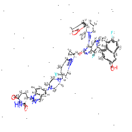 CCc1c(F)ccc2cc(O)cc(-c3ncc4c(N5CCC[C@]6(CCO6)C5)nc(OCC5(CN6CCC(F)(CN7CCN(c8ccc9c(cnn9C9CCC(=O)NC9=O)c8)CC7)CC6)CC5)nc4c3F)c12